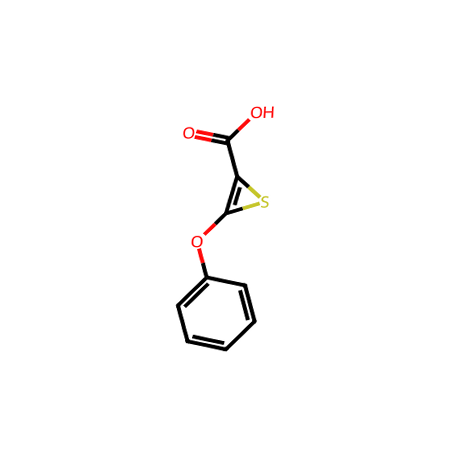 O=C(O)C1=C(Oc2ccccc2)S1